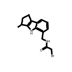 CC1CCc2c1[nH]c1c(CNC(=O)CBr)cccc21